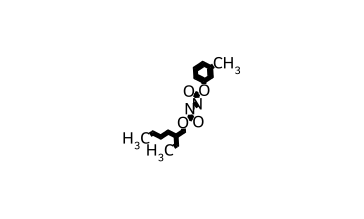 CCCCC(CC)COC(=O)/N=N/C(=O)Oc1cccc(C)c1